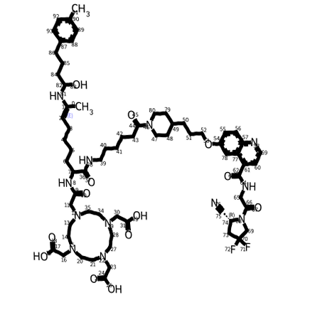 C/C(=C\CCCCC(NC(=O)CN1CCN(CC(=O)O)CCN(CC(=O)O)CCN(CC(=O)O)CC1)C(=O)NCCCCCC(=O)N1CCC(CCCOc2ccc3nccc(C(=O)NCC(=O)N4CC(F)(F)C[C@@H]4C#N)c3c2)CC1)NC(O)CCCc1ccc(C)cc1